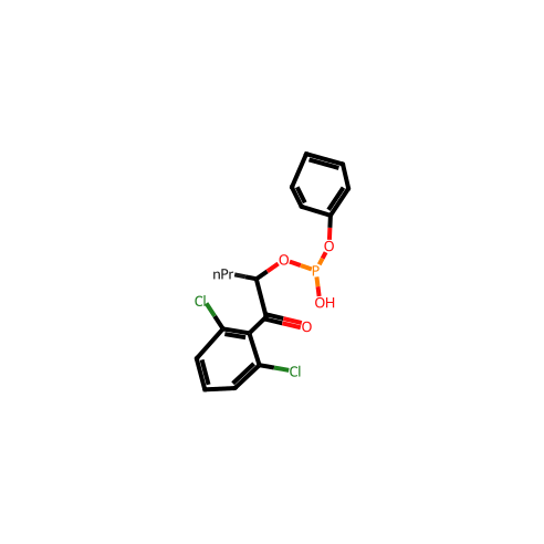 CCCC(OP(O)Oc1ccccc1)C(=O)c1c(Cl)cccc1Cl